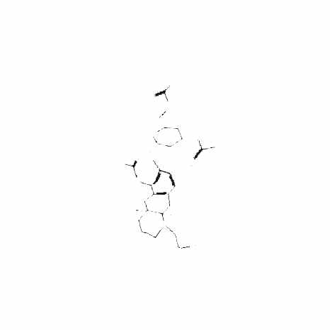 CCCN1CCC[C@@H]2Cc3c(ccc(O[C@H]4C[C@@H](OC(C)=O)C[C@@H](COC(C)=O)O4)c3OC(C)=O)C[C@H]21